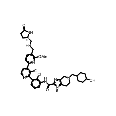 COc1nc(-c2ccnc(-c3cccc(NC(=O)c4nc5c(n4C)CCN(CC4CCC(O)CC4)C5)c3Cl)c2Cl)ccc1CNC[C@H]1CCC(=O)N1